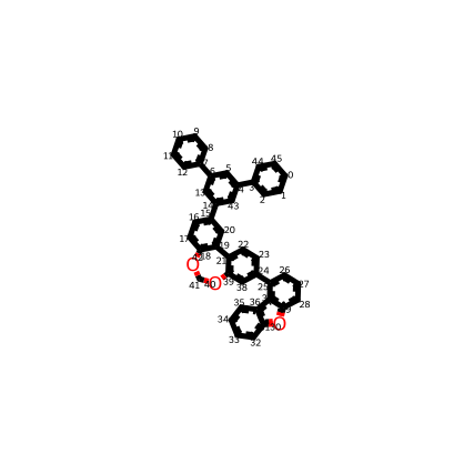 c1ccc(-c2cc(-c3ccccc3)cc(-c3ccc4c(c3)-c3ccc(-c5cccc6oc7ccccc7c56)cc3OCO4)c2)cc1